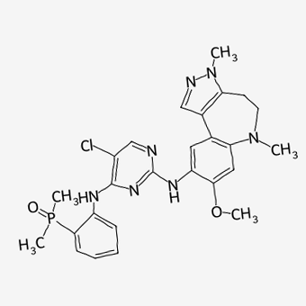 COc1cc2c(cc1Nc1ncc(Cl)c(Nc3ccccc3P(C)(C)=O)n1)-c1cnn(C)c1CCN2C